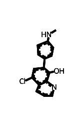 CNc1ccc(-c2cc(Cl)c3cccnc3c2O)cc1